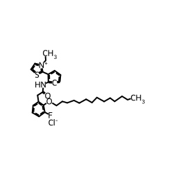 CCCCCCCCCCCCCCOc1c(F)cccc1CC(=O)Nc1ccccc1-c1scc[n+]1CC.[Cl-]